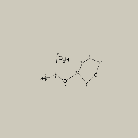 CCCCCCCC(OC1CCCOC1)C(=O)O